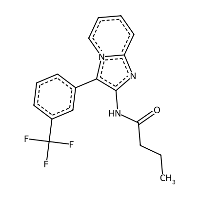 CCCC(=O)Nc1nc2ccccn2c1-c1cccc(C(F)(F)F)c1